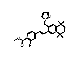 COC(=O)c1ccc(C=Cc2cc3c(cc2Cn2cccn2)C(C)(C)CCC3(C)C)cc1F